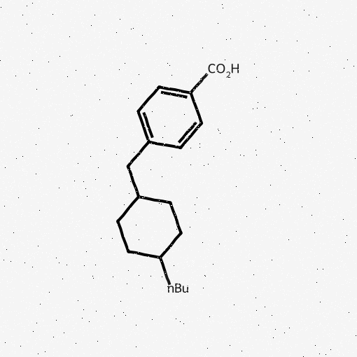 CCCCC1CCC(Cc2ccc(C(=O)O)cc2)CC1